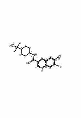 CC(C)(O)C1CCC(NC(=O)c2cnc3cc(F)c(Cl)cc3c2)CC1